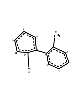 CCCc1[c]cccc1-c1ccccc1CC